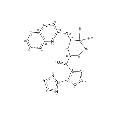 O=C(c1nscc1-n1nccn1)N1CCC(F)(F)C(Oc2ccc3ccccc3n2)C1